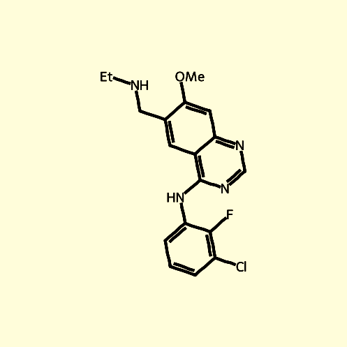 CCNCc1cc2c(Nc3cccc(Cl)c3F)ncnc2cc1OC